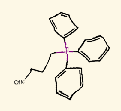 O=CCCC[PH](c1ccccc1)(c1ccccc1)c1ccccc1